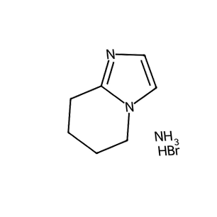 Br.N.c1cn2c(n1)CCCC2